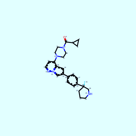 O=C(C1CC1)N1CCN(c2ccnn3cc(-c4ccc(C5(F)CCCNC5)cc4)cc23)CC1